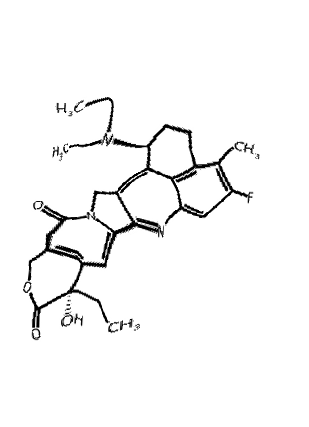 CCN(CC)[C@H]1CCc2c(C)c(F)cc3nc4c(c1c23)Cn1c-4cc2c(c1=O)COC(=O)[C@]2(O)CC